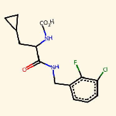 O=C(O)NC(CC1CC1)C(=O)NCc1cccc(Cl)c1F